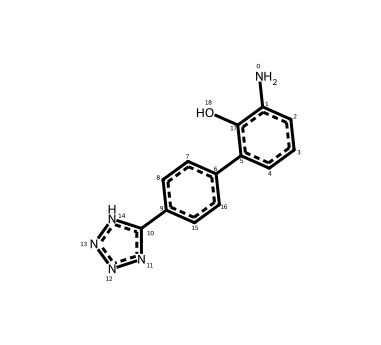 Nc1cccc(-c2ccc(-c3nnn[nH]3)cc2)c1O